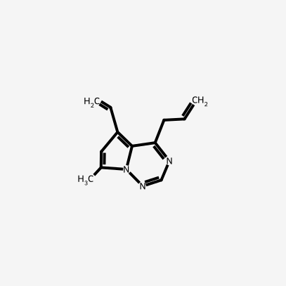 C=CCc1ncnn2c(C)cc(C=C)c12